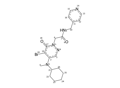 CN(c1cnn(CC(=O)NCc2ccncc2)c(=O)c1Br)C1CCCCC1